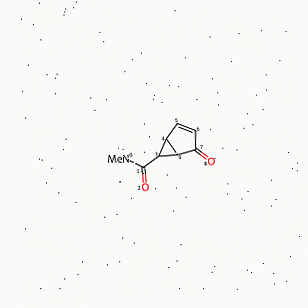 CNC(=O)C1C2C=CC(=O)C21